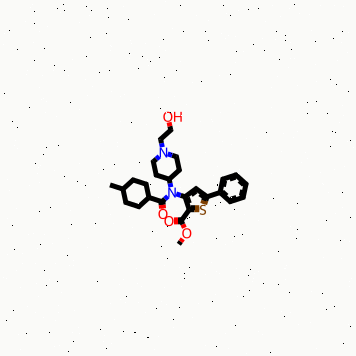 COC(=O)c1sc(-c2ccccc2)cc1N(C(=O)C1CCC(C)CC1)C1CCN(CCO)CC1